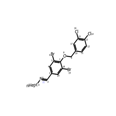 CCCCCCC/N=C/c1cc(Br)c(OCc2ccc(Cl)c(Cl)c2)c(Br)c1